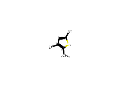 CCc1cc(CC)c(C)s1